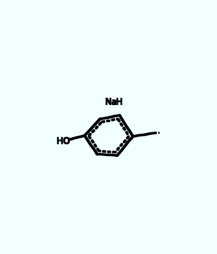 [CH2]c1ccc(O)cc1.[NaH]